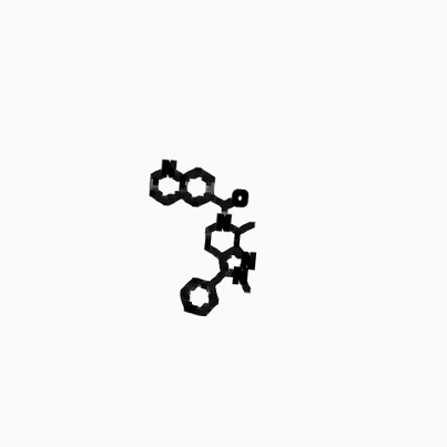 CC1c2nn(C)c(-c3ccccc3)c2CCN1C(=O)c1ccc2ncccc2c1